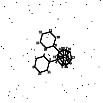 C1CCC([C]23[CH]4[CH]5[CH]6[C]2(C2CCCCC2)[Fe]54632789[CH]3[CH]2[CH]7[CH]8[CH]39)CC1